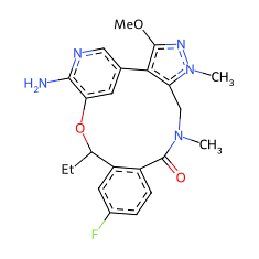 CCC1Oc2cc(cnc2N)-c2c(OC)nn(C)c2CN(C)C(=O)c2ccc(F)cc21